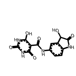 O=C(Nc1ccc2c(c1)C(O)C(=O)N2)c1c(O)[nH]c(=O)[nH]c1=O